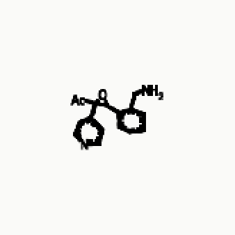 CC(=O)C1(c2ccncc2)OC1c1ccccc1CN